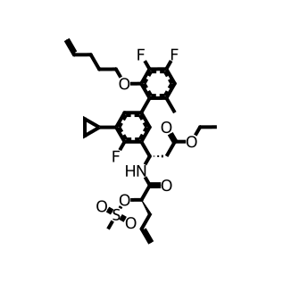 C=CCCCOc1c(F)c(F)cc(C)c1-c1cc(C2CC2)c(F)c([C@H](CC(=O)OCC)NC(=O)[C@@H](CC=C)OS(C)(=O)=O)c1